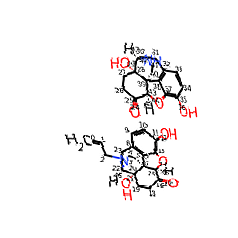 C=CCN1CC[C@]23c4c5ccc(O)c4O[C@H]2C(=O)CC[C@@]3(O)[C@H]1C5.O=C1CC[C@@]2(O)[C@H]3Cc4ccc(O)c5c4[C@@]2(CCN3)[C@H]1O5